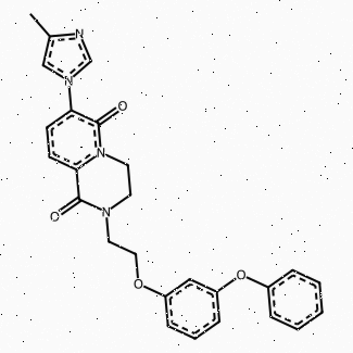 Cc1cn(-c2ccc3n(c2=O)CCN(CCOc2cccc(Oc4ccccc4)c2)C3=O)cn1